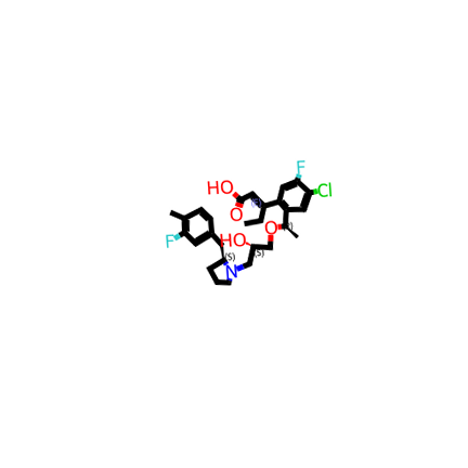 CC/C(=C\C(=O)O)c1cc(F)c(Cl)cc1[C@@H](C)OC[C@@H](O)CN1CCC[C@H]1Cc1ccc(C)c(F)c1